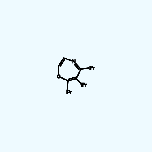 CC(C)C1=NC=COC(C(C)C)=C1C(C)C